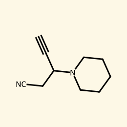 C#CC(CC#N)N1CCCCC1